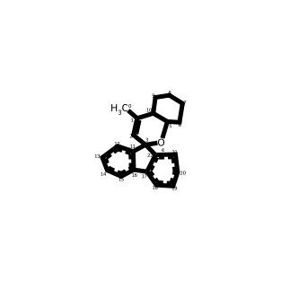 CC1=CC2(OC3CCCCC13)c1ccccc1-c1ccccc12